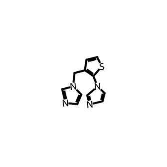 c1cn(Cc2ccsc2-n2ccnc2)cn1